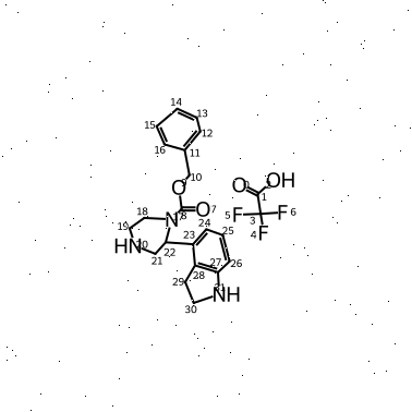 O=C(O)C(F)(F)F.O=C(OCc1ccccc1)N1CCNCC1c1cccc2c1CCN2